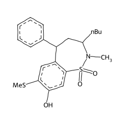 CCCCC1CC(c2ccccc2)c2cc(SC)c(O)cc2S(=O)(=O)N1C